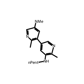 CCCCCNc1cc(-c2cc(NC)cnc2C)cnc1C